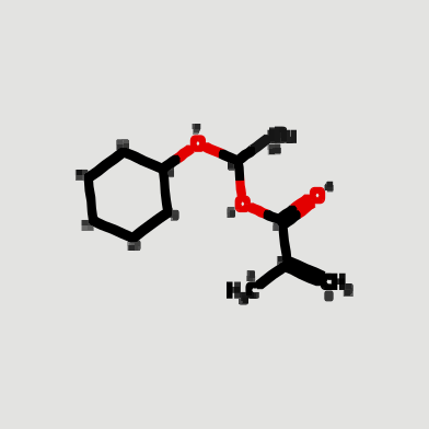 C=C(C)C(=O)OC(OC1CCCCC1)C(C)(C)C